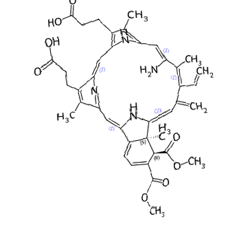 C=C/C1=C(C)/C(N)=C/c2[nH]c(c(CCC(=O)O)c2C)/C=C2N=C(/C=C3\N/C(=C\C1=C)[C@]1(C)C3=CC=C(C(=O)OC)[C@@H]1C(=O)OC)C(C)=C\2CCC(=O)O